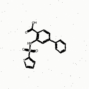 O=C(O)c1ccc(-c2ccccc2)cc1NS(=O)(=O)c1cccs1